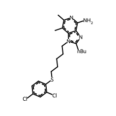 CCCCc1nc2c(N)nc(C)c(C)c2n1CCCCCSc1ccc(Cl)cc1Cl